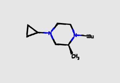 C[C@H]1CN(C2CC2)CCN1C(C)(C)C